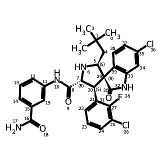 CC(C)(C)C[C@@H]1N[C@@H](C(=O)Nc2cccc(C(N)=O)c2)[C@H](c2cccc(Cl)c2F)[C@]12C(=O)Nc1cc(Cl)ccc12